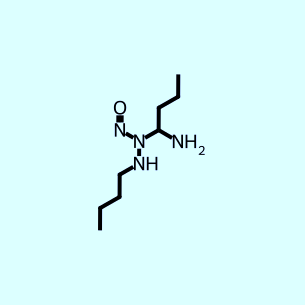 CCCCNN(N=O)C(N)CCC